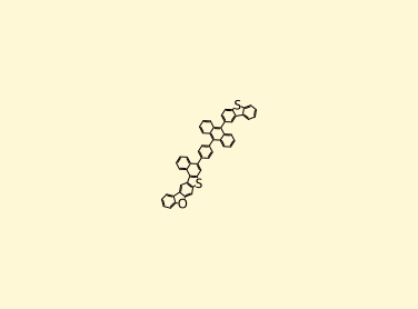 c1ccc2c(c1)oc1cc3sc4cc(-c5ccc(-c6c7ccccc7c(-c7ccc8sc9ccccc9c8c7)c7ccccc67)cc5)c5ccccc5c4c3cc12